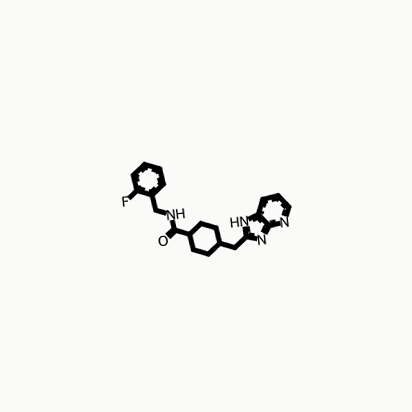 O=C(NCc1ccccc1F)C1CCC(Cc2nc3ncccc3[nH]2)CC1